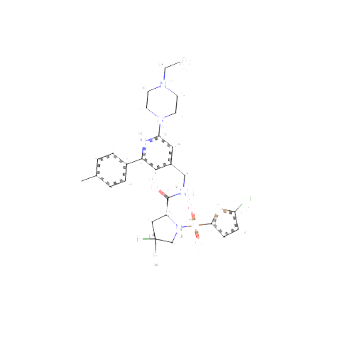 Cc1ccc(-c2cc(CNC(=O)[C@@H]3CC(F)(F)CN3S(=O)(=O)c3ccc(Cl)s3)cc(N3CCN(CC(C)C)CC3)n2)cc1